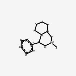 CN1CC2CCCCC2C(c2ccccc2)C1